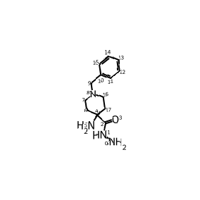 NNC(=O)C1(N)CCN(Cc2ccccc2)CC1